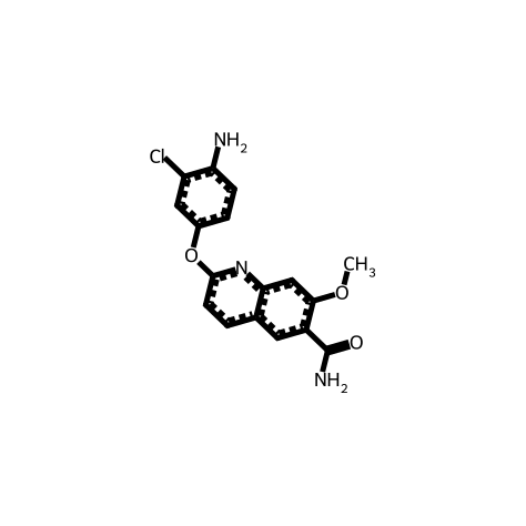 COc1cc2nc(Oc3ccc(N)c(Cl)c3)ccc2cc1C(N)=O